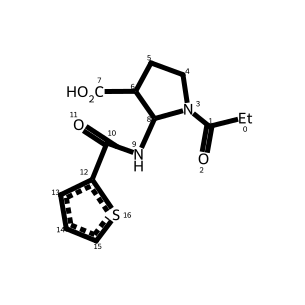 CCC(=O)N1CCC(C(=O)O)C1NC(=O)c1cccs1